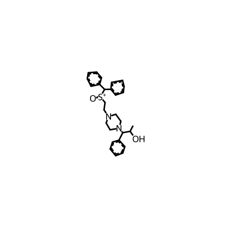 CC(O)C(c1ccccc1)N1CCN(CC[S+]([O-])C(c2ccccc2)c2ccccc2)CC1